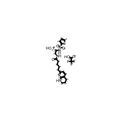 O=C(CCCCc1ccc2c(n1)NCCC2)NCC(NS(=O)(=O)c1cccs1)C(=O)O.O=C(O)C(F)(F)F